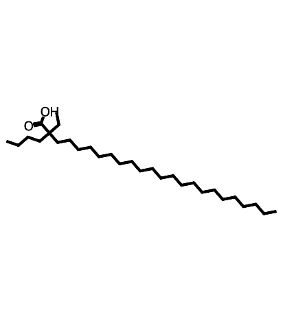 CCCCCCCCCCCCCCCCCCCCCCC(CC)(CCCC)C(=O)O